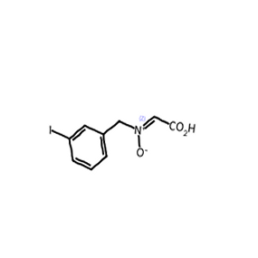 O=C(O)/C=[N+](\[O-])Cc1cccc(I)c1